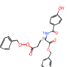 O=C(CC[C@H](NC(=O)c1ccc(O)cc1)C(=O)OCc1ccccc1)OOCc1ccccc1